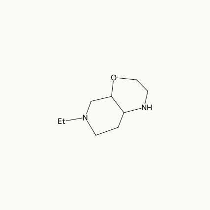 CCN1CCC2NCCOC2C1